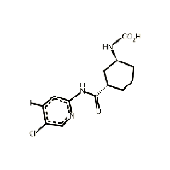 O=C(O)N[C@H]1CCC[C@H](C(=O)Nc2cc(I)c(Cl)cn2)C1